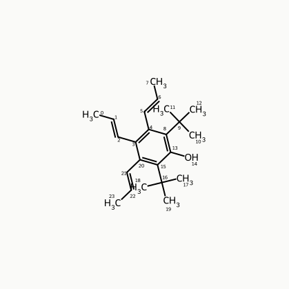 CC=Cc1c(C=CC)c(C(C)(C)C)c(O)c(C(C)(C)C)c1C=CC